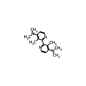 Cc1c(N(C)C)ccnc1-c1nccc(N(C)C)c1C